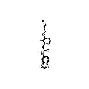 CCC=CCOc1cccc(CC(=O)Nc2ccc3ncsc3c2)c1F